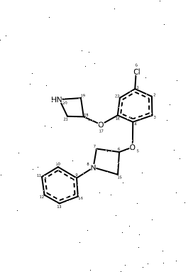 Clc1ccc(OC2CN(c3ccccc3)C2)c(OC2CNC2)c1